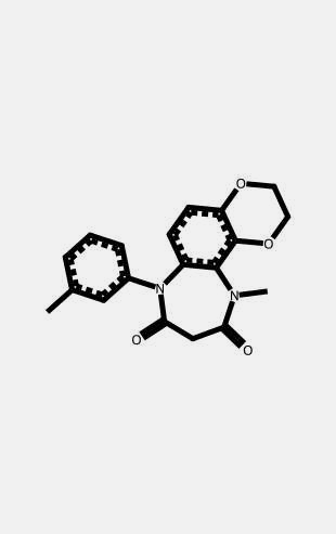 Cc1cccc(N2C(=O)CC(=O)N(C)c3c2ccc2c3OCCO2)c1